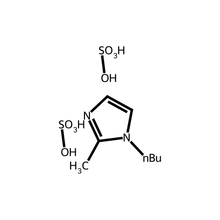 CCCCn1ccnc1C.O=S(=O)(O)O.O=S(=O)(O)O